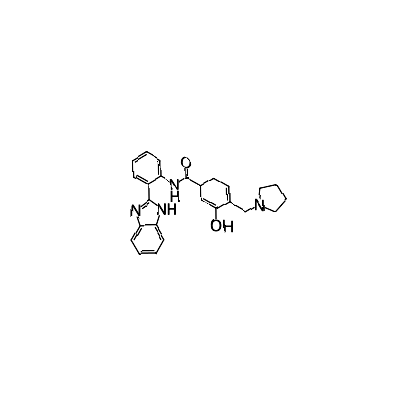 O=C(Nc1ccccc1-c1nc2ccccc2[nH]1)C1C=C(O)C(CN2CCCC2)=CC1